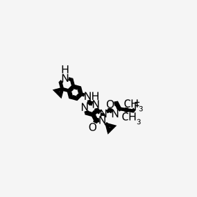 CC(C)(CF)c1coc(-n2c3nc(Nc4ccc5c(c4)CNCC54CC4)ncc3c(=O)n2C2CC2)n1